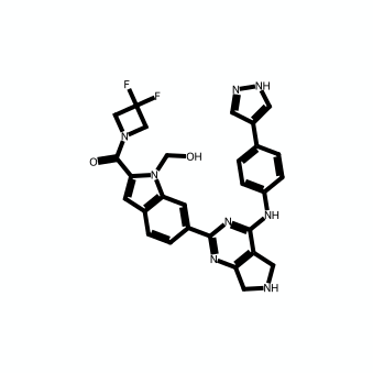 O=C(c1cc2ccc(-c3nc4c(c(Nc5ccc(-c6cn[nH]c6)cc5)n3)CNC4)cc2n1CO)N1CC(F)(F)C1